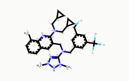 Cc1cccc2cc(CN(Cc3cc(CF)cc(C(F)(F)F)c3)C3=NN(C)NN3C)c(N(CC3CC3)CC3CC3)nc12